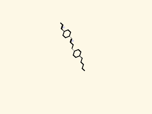 C/C=C/[C@H]1CC[C@H](/C=C/CC[C@H]2CC[C@H](CCCCC)CC2)CC1